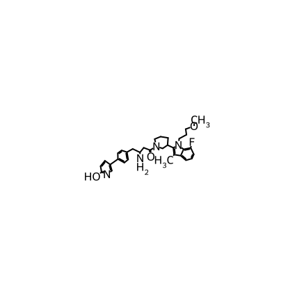 COCCCn1c(C2CCCN(C(=O)CC(N)Cc3ccc(-c4ccc(O)nc4)cc3)C2)c(C)c2cccc(F)c21